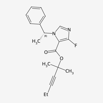 CCC#CC(C)(C)OC(=O)c1c(F)ncn1[C@H](C)c1ccccc1